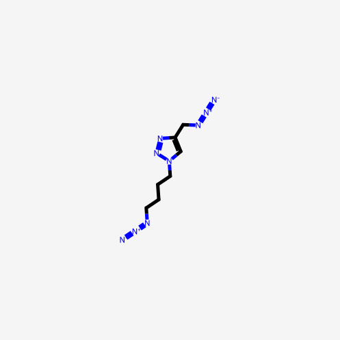 [N-]=[N+]=NCCCCn1cc(CN=[N+]=[N-])nn1